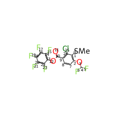 CSc1c(OC(F)F)ccc(C(=O)Oc2c(F)c(F)c(F)c(F)c2F)c1Cl